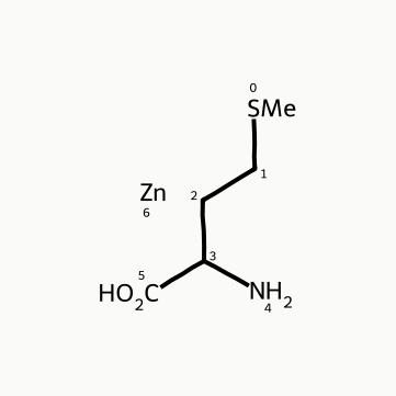 CSCCC(N)C(=O)O.[Zn]